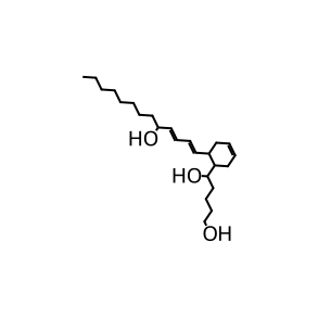 CCCCCCCCC(O)/C=C/C=C/C1CC=CCC1C(O)CCCCO